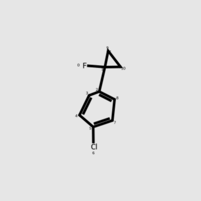 FC1(c2ccc(Cl)cc2)[CH]C1